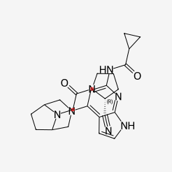 N#C[C@H]1CCCN1C(=O)CN1C2CCC1CN(c1cc(NC(=O)C3CC3)nc3[nH]ccc13)C2